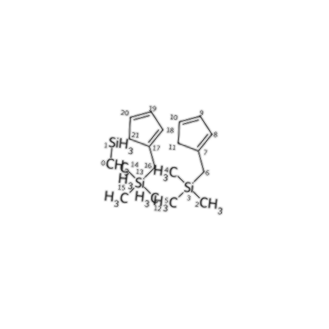 C[SiH3].C[Si](C)(C)CC1=CC=CC1.C[Si](C)(C)CC1=CC=CC1